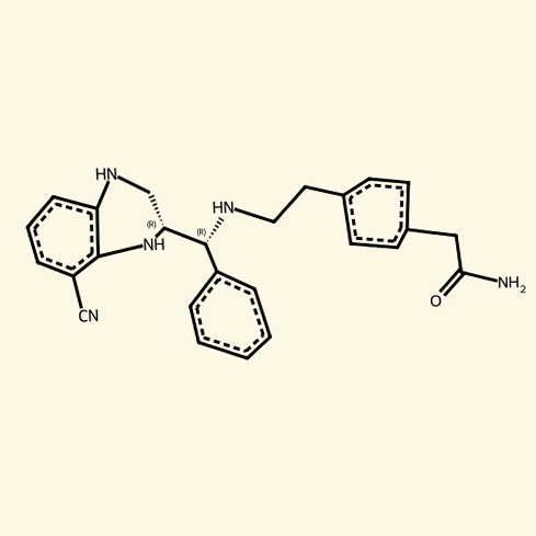 N#Cc1cccc2c1N[C@@H]([C@H](NCCc1ccc(CC(N)=O)cc1)c1ccccc1)CN2